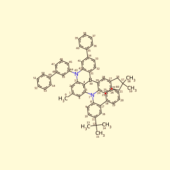 Cc1cc2c3c(c1)N(c1ccc(C(C)(C)C)cc1-c1ccccc1)c1cc4c(cc1B3c1ccc(-c3ccccc3)cc1N2c1cccc(-c2ccccc2)c1)CC(C)(C)C4